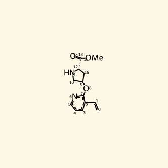 C=Cc1cccnc1O[C@H]1CN[C@H](C(=O)OC)C1